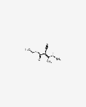 CCOC(=O)/C(C#N)=C(\N)NN